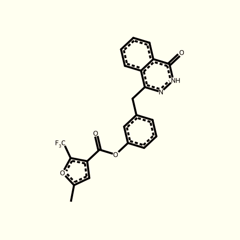 Cc1cc(C(=O)Oc2cccc(Cc3n[nH]c(=O)c4ccccc34)c2)c(C(F)(F)F)o1